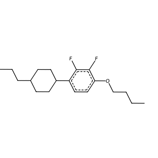 CCCCOc1ccc(C2CCC(CCC)CC2)c(F)c1F